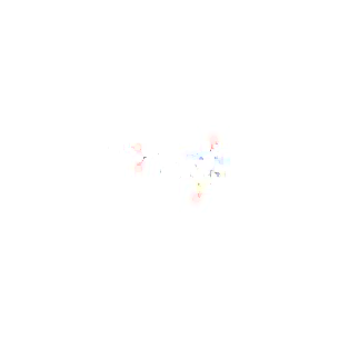 COC(=O)CCCCC1C2NC(=O)N[C@@H]2C[S+]1[O-]